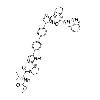 COC(=O)N[C@H](C(=O)N1CCC[C@H]1c1ncc(-c2ccc(-c3ccc(-c4cnc([C@H]5C6CCC(C6)[C@@H]5C(=O)NCc5ccccc5N)[nH]4)cc3)cc2)[nH]1)C(C)C